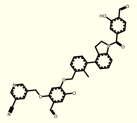 Cc1c(COc2cc(OCc3cncc(C#N)c3)c(C=O)cc2Cl)cccc1-c1cccc2c1CCN2C(=O)c1ccc(C=O)c(O)c1